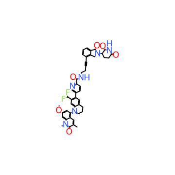 COc1cc(N2CCCc3cc(-c4ccc(C(=O)NCCC#Cc5cccc6c5CN(C5CCC(=O)NC5=O)C6=O)nc4)c(C(F)F)cc32)c2cc(C)c(=O)n(C)c2c1